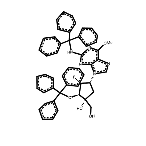 COc1nc(NC(c2ccccc2)(c2ccccc2)c2ccccc2)nc2c1ncn2[C@@H]1C[C@@](O)(CO)[C@@H](OC(c2ccccc2)(c2ccccc2)c2ccccc2)[C@@H]1F